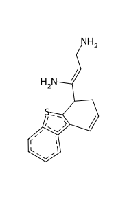 NC/C=C(\N)C1CC=Cc2c1sc1ccccc21